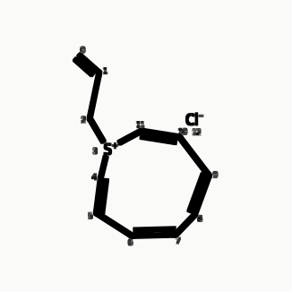 C=CC[s+]1cccccccc1.[Cl-]